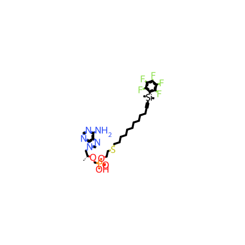 C[C@H](Cn1cnc2c(N)ncnc21)OCP(=O)(O)OCCSCCCCCCCCCCC#C[Si](C)(C)c1c(F)c(F)c(F)c(F)c1F